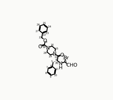 O=CC(Br)N[C@H](Cc1ccccc1)C(=O)N1CCN(C(=O)OCc2ccccc2)CC1